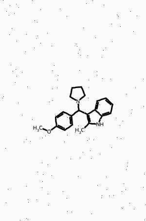 COc1ccc(C(c2c(C)[nH]c3ccccc23)N2CCCC2)cc1